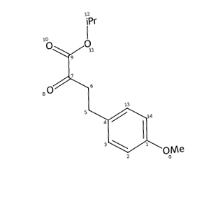 COc1ccc(CCC(=O)C(=O)OC(C)C)cc1